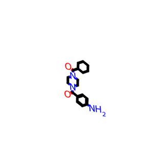 Nc1ccc(C(=O)N2CCN(C(=O)C3CCCCC3)CC2)cc1